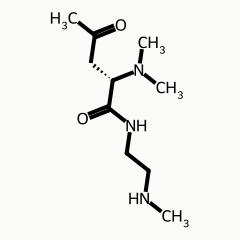 CNCCNC(=O)[C@H](CC(C)=O)N(C)C